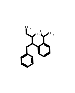 CCC(C)[C](Cc1ccccc1)c1ccccc1C(C)C